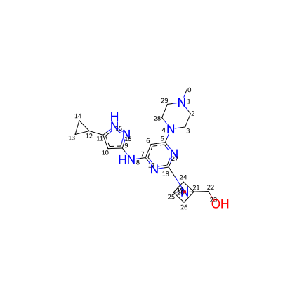 CN1CCN(c2cc(Nc3cc(C4CC4)[nH]n3)nc(N3CC4(CO)CC3C4)n2)CC1